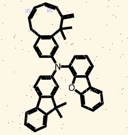 C=C1/C=C\C=C/Cc2ccc(N(c3ccc4c(c3)C(C)(C)c3ccccc3-4)c3cccc4c3oc3ccccc34)cc2C1(C)C